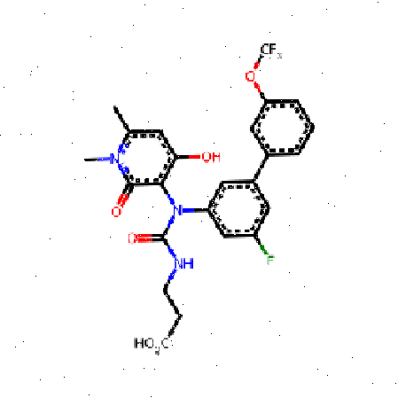 Cc1cc(O)c(N(C(=O)NCCC(=O)O)c2cc(F)cc(-c3cccc(OC(F)(F)F)c3)c2)c(=O)n1C